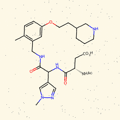 CC(=O)N[C@@H](CC(=O)O)C(=O)NC(C(=O)NCc1cc(OCCC2CCCNC2)ccc1C)c1cnn(C)c1